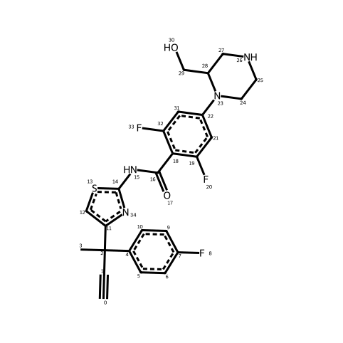 C#CC(C)(c1ccc(F)cc1)c1csc(NC(=O)c2c(F)cc(N3CCNCC3CO)cc2F)n1